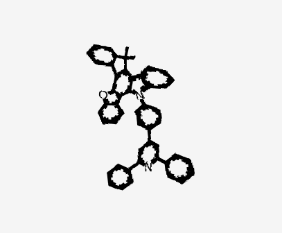 CC1(C)c2ccccc2-c2c1c1c3ccccc3n(-c3ccc(-c4cc(-c5ccccc5)nc(-c5ccccc5)c4)cc3)c1c1c2oc2ccccc21